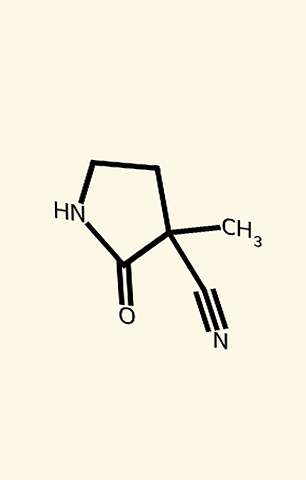 CC1(C#N)CCNC1=O